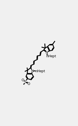 CCCCCCCN1C(=CC=CC=CC=CC2=[N+](CCCCCCC)c3ccc(C)cc3C2(C)C)C(C)(C)c2cc(S(C)(=O)=O)ccc21